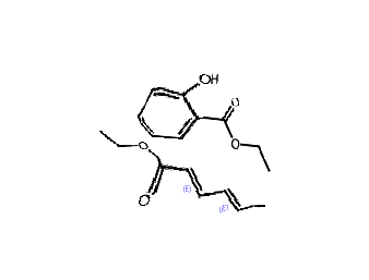 C/C=C/C=C/C(=O)OCC.CCOC(=O)c1ccccc1O